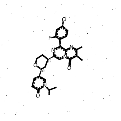 Cc1nc2c(-c3ccc(Cl)cc3F)nc([C@@H]3CCO[C@H](c4ccc(=O)n(C(C)C)c4)C3)cn2c(=O)c1C